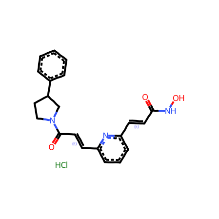 Cl.O=C(/C=C/c1cccc(/C=C/C(=O)N2CCC(c3ccccc3)C2)n1)NO